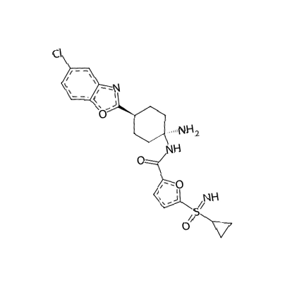 N=S(=O)(c1ccc(C(=O)N[C@]2(N)CC[C@H](c3nc4cc(Cl)ccc4o3)CC2)o1)C1CC1